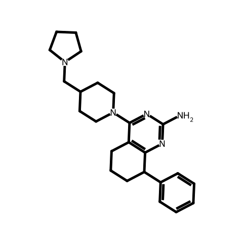 Nc1nc2c(c(N3CCC(CN4CCCC4)CC3)n1)CCCC2c1ccccc1